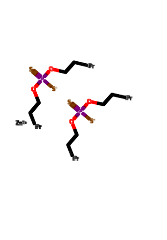 CC(C)CCOP(=S)([S-])OCCC(C)C.CC(C)CCOP(=S)([S-])OCCC(C)C.[Zn+2]